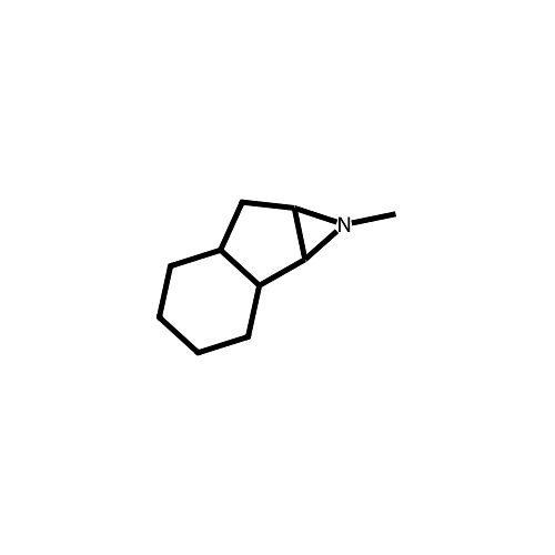 CN1C2CC3CCCCC3C21